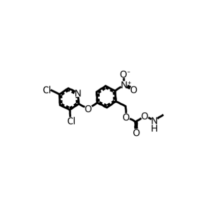 CNOC(=O)OCc1cc(Oc2ncc(Cl)cc2Cl)ccc1[N+](=O)[O-]